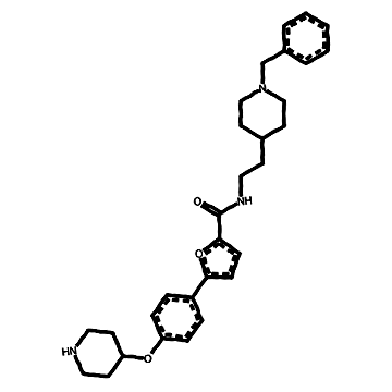 O=C(NCCC1CCN(Cc2ccccc2)CC1)c1ccc(-c2ccc(OC3CCNCC3)cc2)o1